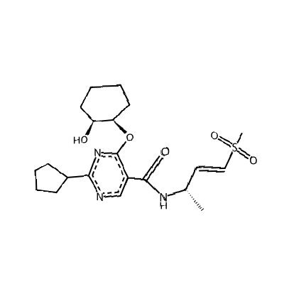 C[C@@H](/C=C/S(C)(=O)=O)NC(=O)c1cnc(C2CCCC2)nc1O[C@@H]1CCCC[C@@H]1O